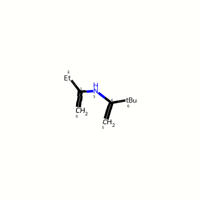 C=C(CC)NC(=C)C(C)(C)C